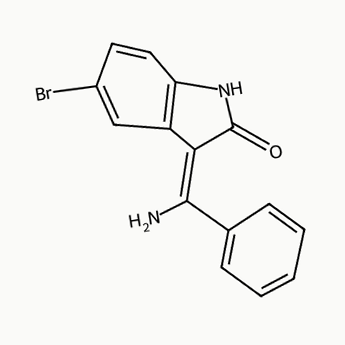 N/C(=C1/C(=O)Nc2ccc(Br)cc21)c1ccccc1